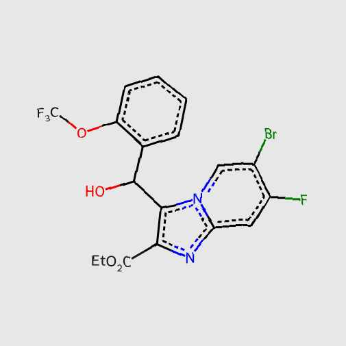 CCOC(=O)c1nc2cc(F)c(Br)cn2c1C(O)c1ccccc1OC(F)(F)F